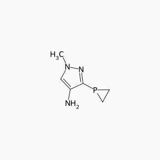 Cn1cc(N)c(P2CC2)n1